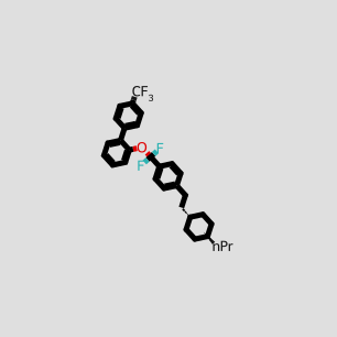 CCC[C@H]1CC[C@H](CCc2ccc(C(F)(F)Oc3ccccc3-c3ccc(C(F)(F)F)cc3)cc2)CC1